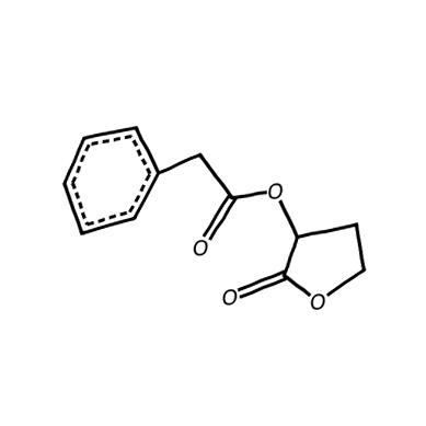 O=C(Cc1ccccc1)OC1CCOC1=O